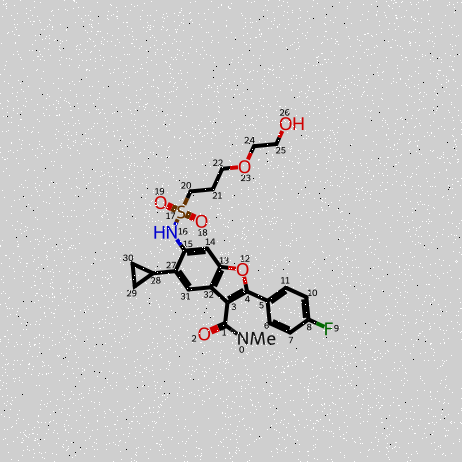 CNC(=O)c1c(-c2ccc(F)cc2)oc2cc(NS(=O)(=O)CCCOCCO)c(C3CC3)cc12